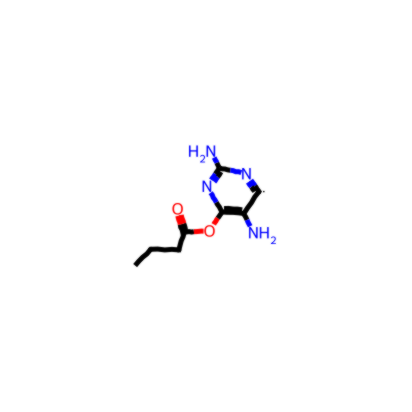 CCCC(=O)Oc1nc(N)n[c]c1N